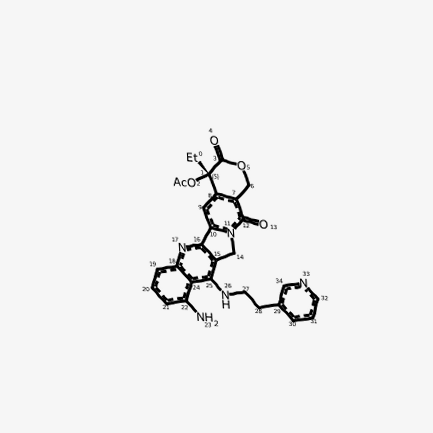 CC[C@@]1(OC(C)=O)C(=O)OCc2c1cc1n(c2=O)Cc2c-1nc1cccc(N)c1c2NCCc1cccnc1